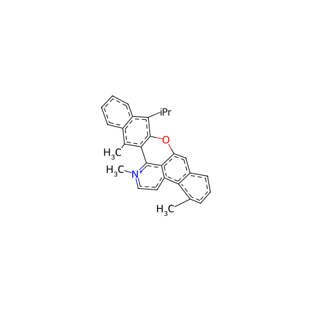 Cc1c2c(c(C(C)C)c3ccccc13)Oc1cc3cccc(C)c3c3cc[n+](C)c-2c13